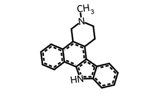 CN1CCc2c(c3ccccc3c3[nH]c4ccccc4c23)C1